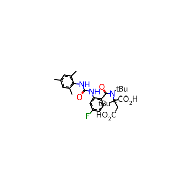 Cc1cc(C)c(NC(=O)Nc2cc(F)ccc2C(=O)N(C(C)(C)C)[C@@](CC(=O)O)(C(=O)O)C(C)(C)C)c(C)c1